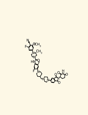 COc1cc(N2CCN(C(=O)Nc3cc(F)c(N4CCC(CN5CCN(c6ccc7c(c6)C(=O)N(C6CCC(=O)NC6=O)C7=O)CC5)CC4)cc3F)C[C@@H]2C)cc(F)c1C#N